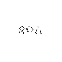 CC(C)(C)OC(=O)N1CCN([C@H]2CCC2(F)F)CC1